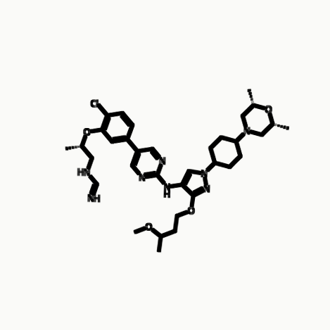 COC(C)CCOc1nn(C2CCC(N3C[C@@H](C)O[C@@H](C)C3)CC2)cc1Nc1ncc(-c2ccc(Cl)c(O[C@@H](C)CNC=N)c2)cn1